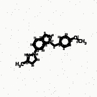 COc1ccc(Cn2ncc3ccc(N4CCC(C)=N4)cc32)cc1